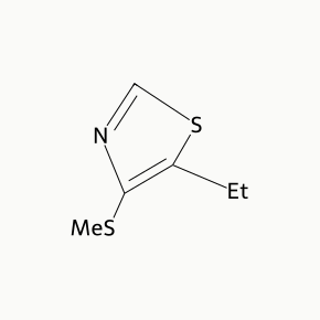 CCc1scnc1SC